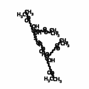 CC(C)CCOC(=O)CCCCCCC(O)CN(CCCCC(=O)OCCN1CCN(CCSSCCCN(CC(O)CCCCC(=O)OCCC(C)C)CC(O)CCCCC(=O)OCCC(C)C)CC1)CC(O)CCCCCCC(=O)OCCC(C)C